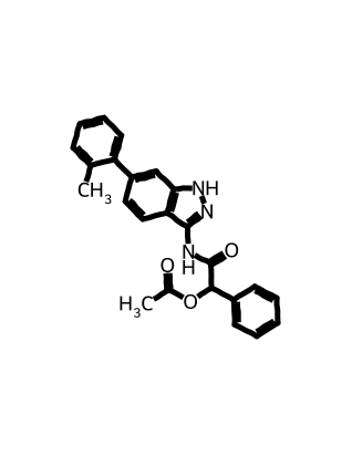 CC(=O)OC(C(=O)Nc1n[nH]c2cc(-c3ccccc3C)ccc12)c1ccccc1